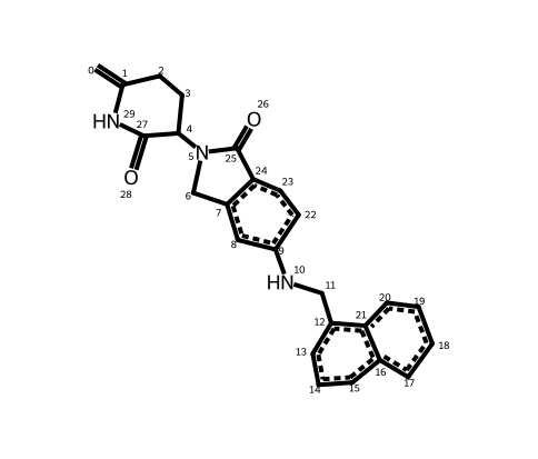 C=C1CCC(N2Cc3cc(NCc4cccc5ccccc45)ccc3C2=O)C(=O)N1